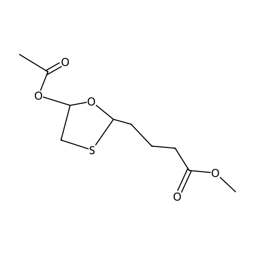 COC(=O)CCCC1OC(OC(C)=O)CS1